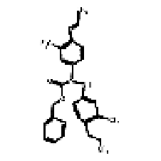 O=C(OCc1ccccc1)N(Nc1ccc(CCC(F)(F)F)c(C(F)(F)F)c1)c1ccc(C=CC(F)(F)F)c(C(F)(F)F)c1